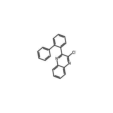 Clc1nc2ccccc2nc1-c1ccccc1-c1ccccc1